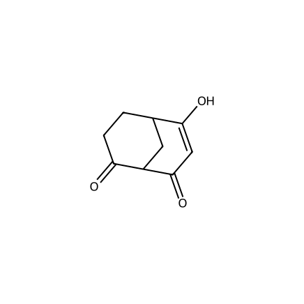 O=C1C=C(O)C2CCC(=O)C1C2